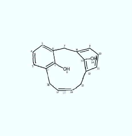 Oc1c2cccc1Cc1cccc(c1O)C/C=C\C2